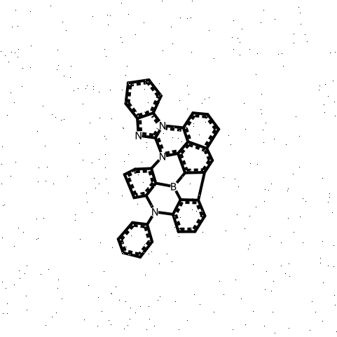 c1ccc(N2c3cccc4c3B3c5c2cccc5-n2c5c3c-4cc3cccc(c35)n3c4ccccc4nc23)cc1